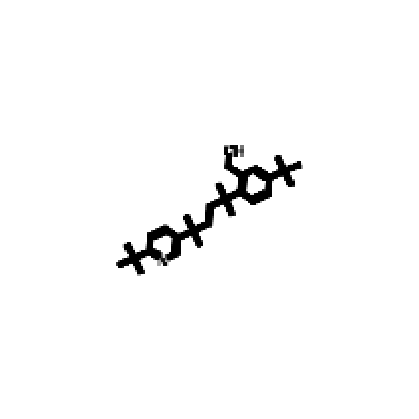 CC(C)(C)c1ccc(C(C)(C)CCC(C)(C)c2ccc(C(C)(C)C)nc2)c(CO)c1